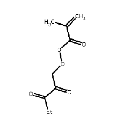 C=C(C)C(=O)OOCC(=O)C(=O)CC